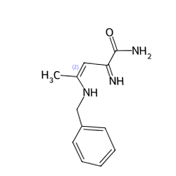 C/C(=C/C(=N)C(N)=O)NCc1ccccc1